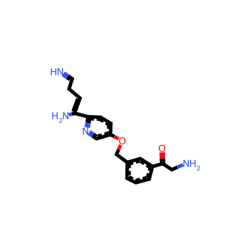 N=CC/C=C(\N)c1ccc(OCc2cccc(C(=O)CN)c2)cn1